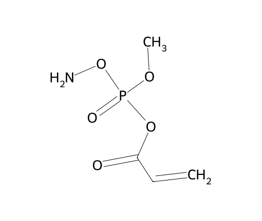 C=CC(=O)OP(=O)(OC)ON